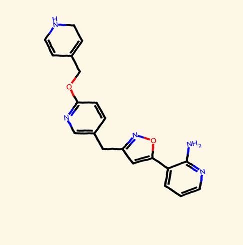 Nc1ncccc1-c1cc(Cc2ccc(OCC3=CCNC=C3)nc2)no1